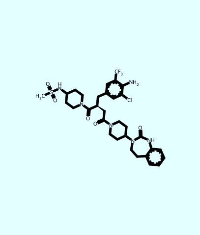 CS(=O)(=O)NC1CCN(C(=O)[C@H](CC(=O)N2CCC(N3CCc4ccccc4NC3=O)CC2)Cc2cc(Cl)c(N)c(C(F)(F)F)c2)CC1